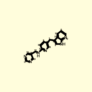 c1cnc2[nH]cc(Cc3ccc(NCc4cncnc4)nc3)c2c1